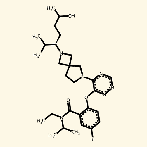 CCN(C(=O)c1cc(F)ccc1Oc1nncnc1N1CCC2(C1)CN([C@H](CCC(C)O)C(C)C)C2)C(C)C